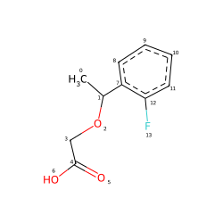 CC(OCC(=O)O)c1ccccc1F